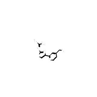 NCc1ccnc(-c2csc(N=C(N)N)n2)c1